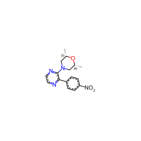 C[C@@H]1CN(c2nccnc2-c2ccc([N+](=O)[O-])cc2)C[C@H](C)O1